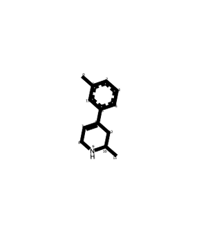 Cc1cccc(C2=CCNC(C)C2)c1